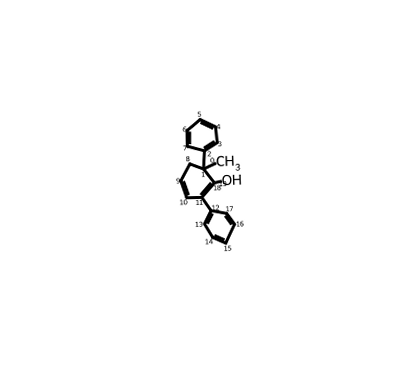 CC1(c2ccccc2)CC=CC(c2ccccc2)=C1O